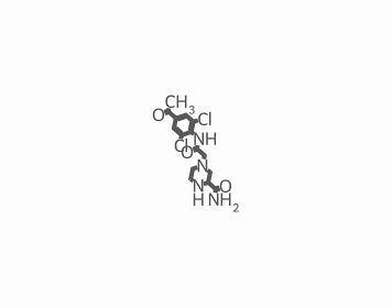 CC(=O)c1cc(Cl)c(NC(=O)CN2CCNC(C(N)=O)C2)c(Cl)c1